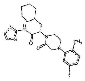 Cc1ccc(F)cc1N1CCN([C@@H](CC2CCCCC2)C(=O)Nc2nccs2)C(=O)C1